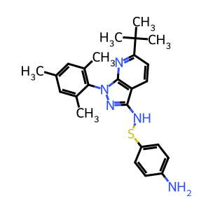 Cc1cc(C)c(-n2nc(NSc3ccc(N)cc3)c3ccc(C(C)(C)C)nc32)c(C)c1